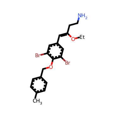 CCOC(=Cc1cc(Br)c(OCc2ccc(C)cc2)c(Br)c1)CCN